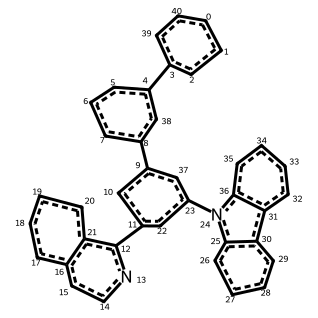 c1ccc(-c2cccc(-c3cc(-c4nccc5ccccc45)cc(-n4c5ccccc5c5ccccc54)c3)c2)cc1